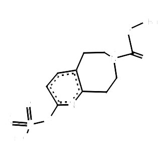 CC(C)(C)OC(=O)N1CCc2ccc(OS(=O)(=O)C(F)(F)F)nc2CC1